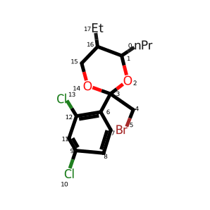 CCCC1OC(CBr)(c2ccc(Cl)cc2Cl)OCC1CC